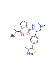 Cc1ncsc1-c1ccc(C(CN(C)C)NC(=O)C2CCCN2C(=O)C(C)C(C)(C)C)cc1